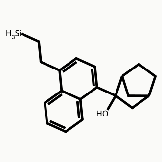 OC1(c2ccc(CC[SiH3])c3ccccc23)CC2CCC1C2